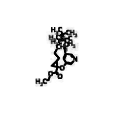 CCCC1CC1(Oc1cncc(CO[Si](C)(C)C(C)(C)C)c1)C(=O)OCC